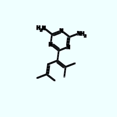 CC(C)=CC(=C(C)C)c1nc(N)nc(N)n1